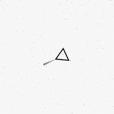 C[C@H]1[CH]C1